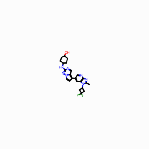 Cc1nc2ncc(-c3ccn4nc(NC5CCC(O)CC5)ncc34)cc2n1C1CC(F)(F)C1